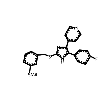 CSc1cccc(CSc2nc(-c3ccncc3)c(-c3ccc(F)cc3)[nH]2)c1